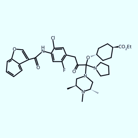 CCOC(=O)[C@H]1CC[C@H](OC(C(=O)Cc2cc(Cl)c(NC(=O)c3coc4ccccc34)cc2F)(N2CCCC2)N2C[C@H](C)N(C)[C@@H](C)C2)CC1